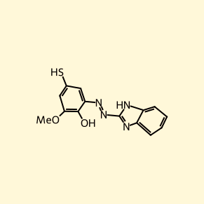 COc1cc(S)cc(/N=N/c2nc3ccccc3[nH]2)c1O